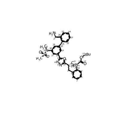 C[C@H](Cc1ccccc1NC(=O)OC(C)(C)C)c1nnc(-c2cc(-c3ccccc3CN)cc(N(C)S(C)(=O)=O)c2)o1